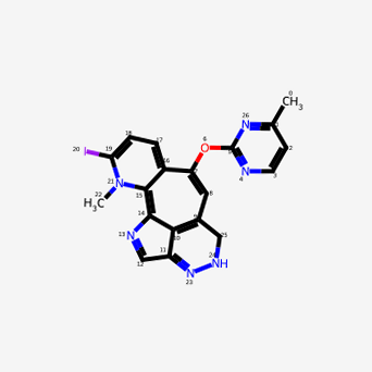 Cc1ccnc(Oc2cc3c4c(cnc-4c4c2=CC=C(I)N4C)=NNC3)n1